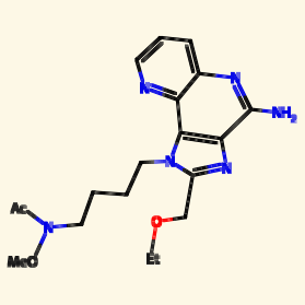 CCOCc1nc2c(N)nc3cccnc3c2n1CCCCN(OC)C(C)=O